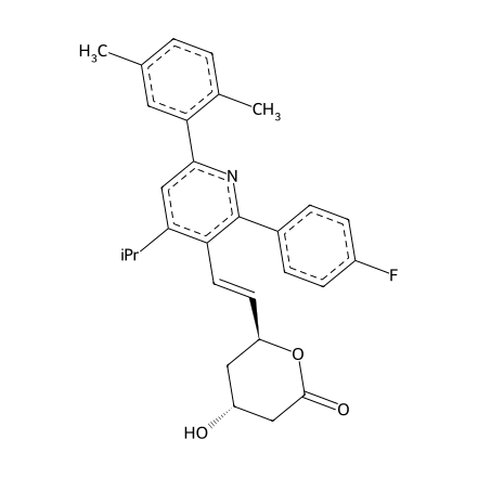 Cc1ccc(C)c(-c2cc(C(C)C)c(/C=C/[C@@H]3C[C@@H](O)CC(=O)O3)c(-c3ccc(F)cc3)n2)c1